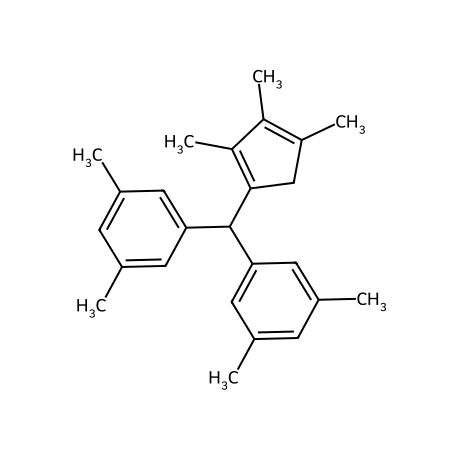 CC1=C(C)C(C)=C(C(c2cc(C)cc(C)c2)c2cc(C)cc(C)c2)C1